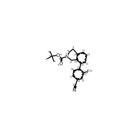 CC(C)(C)OC(=O)N1CCc2cccc(-c3ccc(C#N)cc3F)c2C1